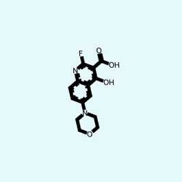 O=C(O)c1c(F)nc2ccc(N3CCOCC3)cc2c1O